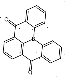 O=C1c2ccccc2B2c3ccccc3C(=O)c3cccc1c32